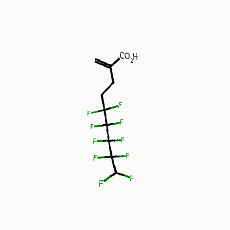 C=C(CCC(F)(F)C(F)(F)C(F)(F)C(F)(F)C(F)F)C(=O)O